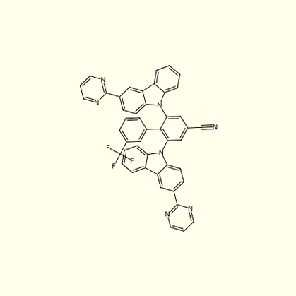 N#Cc1cc(-n2c3ccccc3c3cc(-c4ncccn4)ccc32)c(-c2cccc(C(F)(F)F)c2)c(-n2c3ccccc3c3cc(-c4ncccn4)ccc32)c1